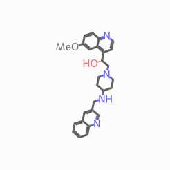 COc1ccc2nccc([C@@H](O)CN3CCC(NCc4cnc5ccccc5c4)CC3)c2c1